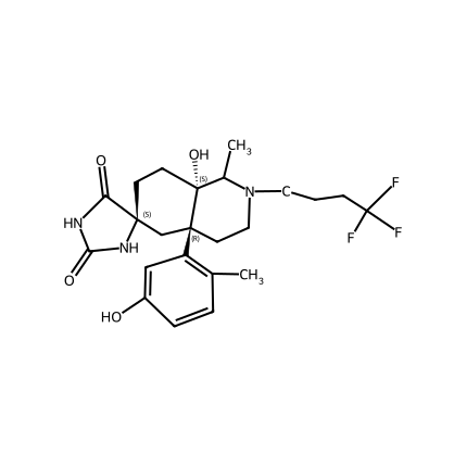 Cc1ccc(O)cc1[C@]12CCN(CCCC(F)(F)F)C(C)[C@]1(O)CC[C@@]1(C2)NC(=O)NC1=O